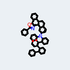 c1c(N(c2ccccc2)c2ccccc2C2=C(c3ccccc3-c3ccccc3)C=CCC2)cc2c(c#1)ccc1c3ccccc3c3oc(-c4ccccc4)nc3c21